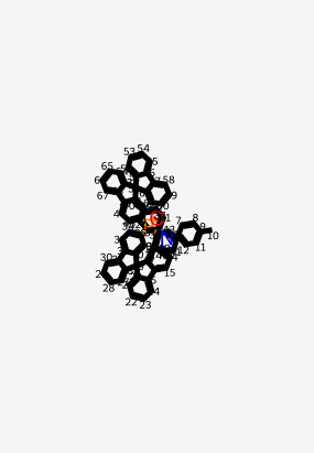 Cc1ccc(N(c2ccc(C)cc2)c2ccc3c(c2)C2(c4ccccc4-3)c3ccccc3-c3ccc(P(=O)(c4ccccc4)c4ccc5c(c4)C4(c6ccccc6-c6ccccc64)c4ccccc4-5)cc32)cc1